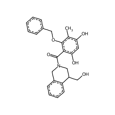 Cc1c(O)cc(O)c(C(=O)N2Cc3ccccc3C(CO)C2)c1OCc1ccccc1